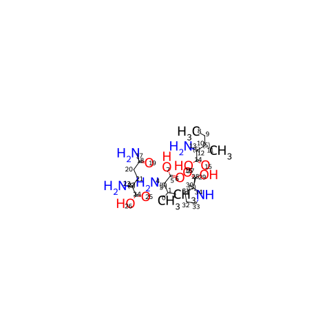 CC(C)[C@H](N)C(=O)O.CC[C@H](C)[C@H](N)C(=O)O.NC(=O)CC[C@H](N)C(=O)O.O=C(O)[C@@H]1CCCN1